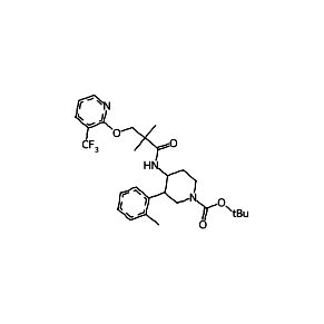 Cc1ccccc1C1CN(C(=O)OC(C)(C)C)CCC1NC(=O)C(C)(C)COc1ncccc1C(F)(F)F